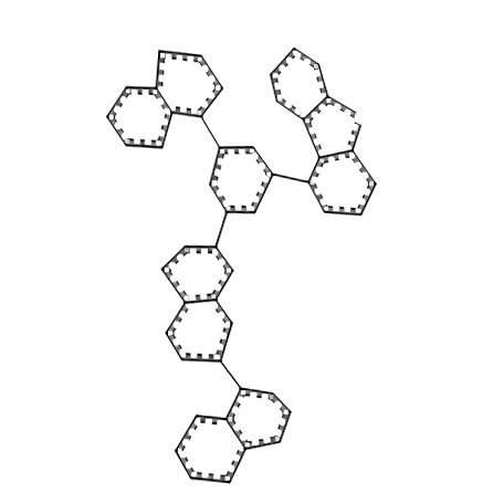 c1ccc2c(-c3cc(-c4ccc5ccc(-c6cccc7ccccc67)cc5c4)cc(-c4cccc5oc6ccccc6c45)c3)cccc2c1